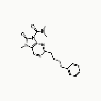 CN(C)C(=O)n1c(=O)n(C)c2cnc(CCCCc3ccccc3)nc21